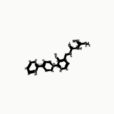 N=C(N)NC(=O)OCc1ccnc(N2CC=C(c3ncccn3)CC2)c1F